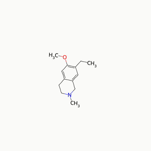 CCc1cc2c(cc1OC)CCN(C)C2